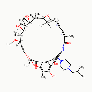 CO[C@H]1/C=C/O[C@@]2(C)Oc3c(C)c(O)c4c(O)c(c(N5CCN(CC(C)C)CC5)c(O)c4c3C2=O)NC(=O)/C(C)=C\C=C\[C@]2(C)O[C@H]([C@@H](C)[C@@H](O)[C@@H](C)[C@H](O)[C@@H]1C)[C@H]2C